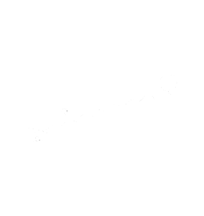 CC(C)(C)[Si](C)(C)OCCC(O)CCCCCCCCCCOC1CCCCO1